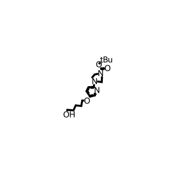 CC(C)(C)OC(=O)N1CCN(c2ccc(OCCCCCO)cn2)CC1